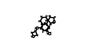 Clc1cc(OC2COC2)c2c(n1)C1(CCC2)CCOC1